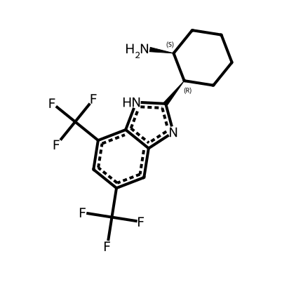 N[C@H]1CCCC[C@H]1c1nc2cc(C(F)(F)F)cc(C(F)(F)F)c2[nH]1